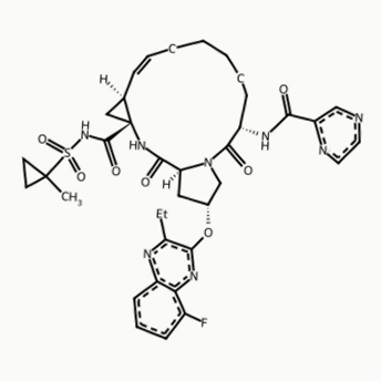 CCc1nc2cccc(F)c2nc1O[C@@H]1C[C@H]2C(=O)N[C@]3(C(=O)NS(=O)(=O)C4(C)CC4)C[C@H]3C=CCCCCC[C@H](NC(=O)c3cnccn3)C(=O)N2C1